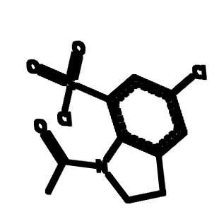 CC(=O)N1CCc2cc(Cl)cc(S(=O)(=O)Cl)c21